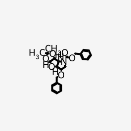 CC1(C)O[C@H]2O[C@H]3[C@@H]([C@H]2O1)N(C(=O)OCc1ccccc1)C[C@H]3OCc1ccccc1